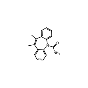 CC1=C(C)c2ccccc2N(C(N)=O)c2ccccc21